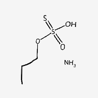 CCCOS(=O)(O)=S.N